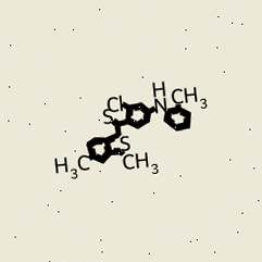 Cc1ccc2c(C(=S)c3ccc(Nc4ccccc4C)cc3Cl)sc(C)c2c1